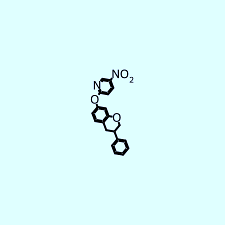 O=[N+]([O-])c1ccc(Oc2ccc3c(c2)OCC(c2ccccc2)C3)nc1